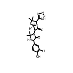 CC1(C)S[C@@H]2C(N3C(=O)C(c4ccc(O)c(Cl)c4)NC3(C)C)C(=O)N2C1c1nnn[nH]1